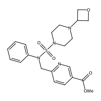 COC(=O)c1ccc(CN(c2ccccc2)S(=O)(=O)N2CCN(C3COC3)CC2)nc1